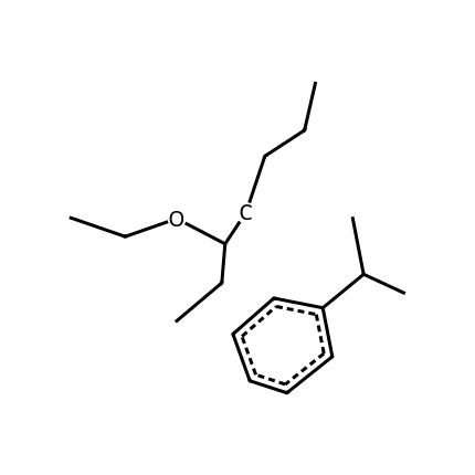 CC(C)c1ccccc1.CCCCC(CC)OCC